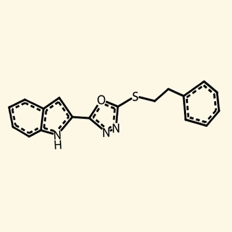 c1ccc(CCSc2nnc(-c3cc4ccccc4[nH]3)o2)cc1